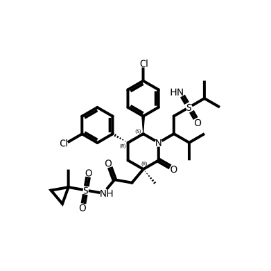 CC(C)C(CS(=N)(=O)C(C)C)N1C(=O)[C@@](C)(CC(=O)NS(=O)(=O)C2(C)CC2)C[C@H](c2cccc(Cl)c2)[C@H]1c1ccc(Cl)cc1